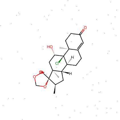 C[C@@H]1C[C@H]2[C@@H]3CCC4=CC(=O)CC[C@]4(C)[C@@]3(Cl)[C@@H](O)C[C@]2(C)[C@]12OCOC21COCO1